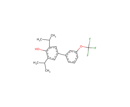 CC(C)c1cc(-c2cccc(OC(F)(F)F)c2)cc(C(C)C)c1O